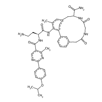 Cc1cc2cc(c1NC(=O)[C@H](CCN)NC(=O)c1cnc(-c3ccc(OC(C)C)cc3)nc1C)-c1cccc(c1)CC(=O)NCC(=O)NC(C(N)=O)C2